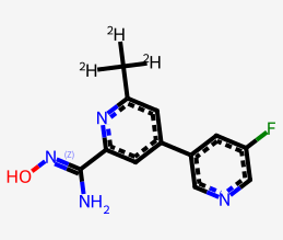 [2H]C([2H])([2H])c1cc(-c2cncc(F)c2)cc(/C(N)=N/O)n1